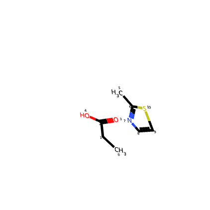 CCC(=O)O.Cc1nccs1